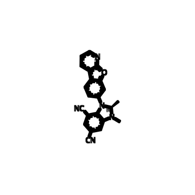 C[C@H]1N(C)c2cc(C#N)cc(C#N)c2N1c1ccc2c(c1)oc1ncccc12